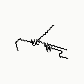 CCCCC/C=C\C/C=C\CCCCCCCC(=O)OC(CC)CN(CCCCCCCCCCCCCC)CCCCN(CCCCCCCCCCCCCC)CC(CC)OC(=O)CCCCCCC/C=C\C/C=C\CCCCC